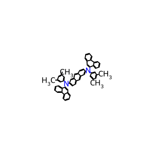 Cc1cc(C)cc(N(c2ccc3cc4cc(N(c5cc(C)cc(C)c5)c5cc6ccccc6c6ccccc56)ccc4cc3c2)c2cc3ccccc3c3ccccc23)c1